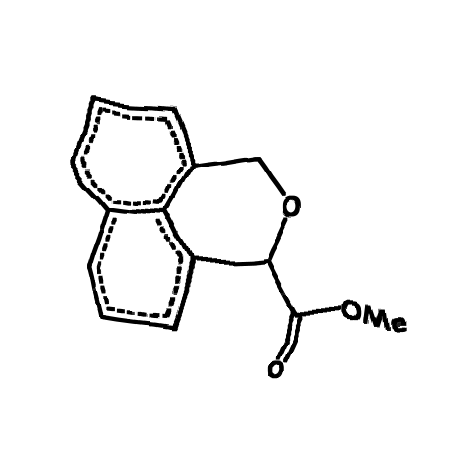 COC(=O)C1OCc2cccc3cccc1c23